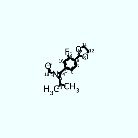 CC(C)C1C(c2ccc(C3OCCO3)c(F)c2)N1C=O